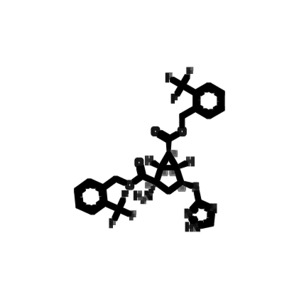 N[C@@]1(C(=O)OCc2ccccc2C(F)(F)F)C[C@H](Sc2nc[nH]n2)[C@H]2[C@H](C(=O)OCc3ccccc3C(F)(F)F)[C@H]21